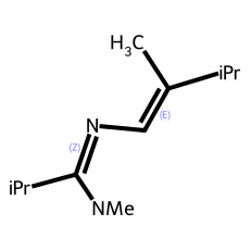 CN/C(=N\C=C(/C)C(C)C)C(C)C